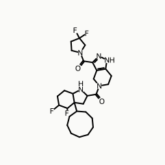 O=C(c1n[nH]c2c1CN(C(=O)C1CC3(C4CCCCCCCC4)C(CCC(F)C3F)N1)CC2)N1CCC(F)(F)C1